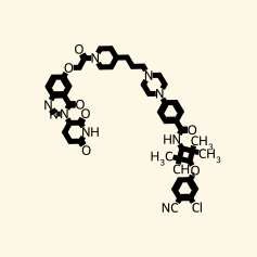 CC1(C)C(NC(=O)c2ccc(N3CCN(CCCC4CCN(C(=O)COc5ccc6nnn(C7CCC(=O)NC7=O)c(=O)c6c5)CC4)CC3)cc2)C(C)(C)C1Oc1ccc(C#N)c(Cl)c1